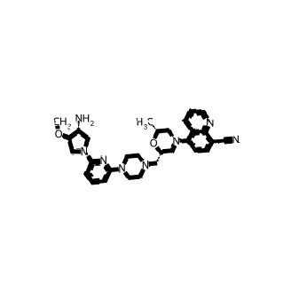 COC1CN(c2cccc(N3CCN(C[C@H]4CN(c5ccc(C#N)c6ncccc56)C[C@@H](C)O4)CC3)n2)C[C@H]1N